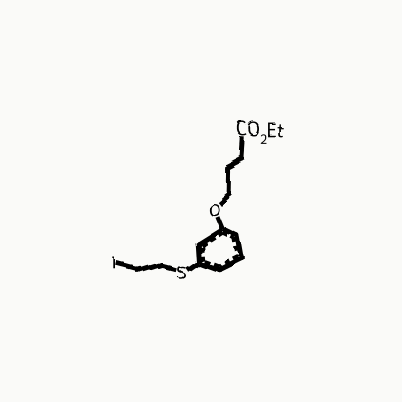 CCOC(=O)CCCOc1cccc(SCCI)c1